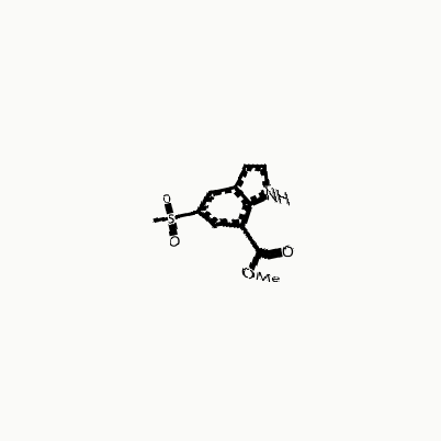 COC(=O)c1cc(S(C)(=O)=O)cc2cc[nH]c12